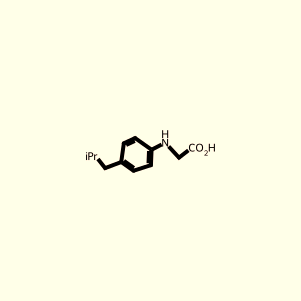 CC(C)Cc1ccc(NCC(=O)O)cc1